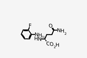 NC(=O)CC[C@H](NNc1ccccc1F)C(=O)O